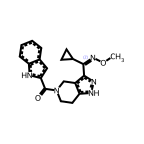 CO/N=C(\c1n[nH]c2c1CN(C(=O)c1cc3ccccc3[nH]1)CC2)C1CC1